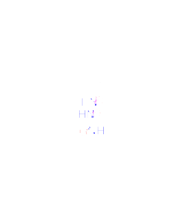 CCCCCCCCCCCC(=O)NCCC(=O)NCCCCC(NC)C(C)=O